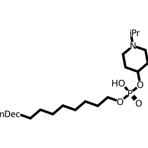 CCCCCCCCCCCCCCCCCCOP(=O)(O)OC1CCN(C(C)C)CC1